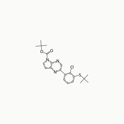 CC(C)(C)OC(=O)n1ccc2nc(-c3cccc(SC(C)(C)C)c3Cl)cnc21